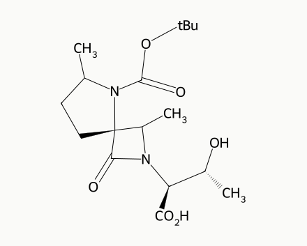 CC1CC[C@@]2(C(=O)N([C@H](C(=O)O)[C@@H](C)O)C2C)N1C(=O)OC(C)(C)C